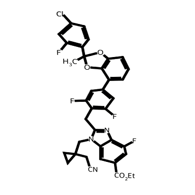 CCOC(=O)c1cc(F)c2nc(Cc3c(F)cc(-c4cccc5c4OC(C)(c4ccc(Cl)cc4F)O5)cc3F)n(CC3(CC#N)CC3)c2c1